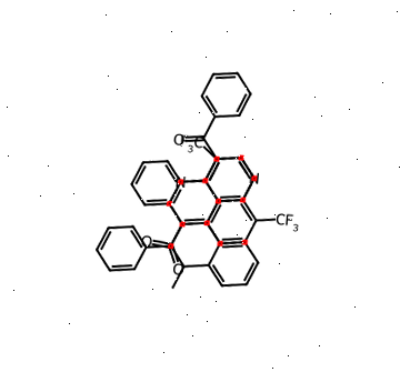 CC(C(=O)C(C)c1ccccc1-c1c(C(=O)c2ccccc2)cnc2c(C(F)(F)F)cccc12)c1ccccc1-c1c(C(=O)c2ccccc2)cnc2c(C(F)(F)F)cccc12